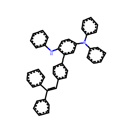 C(=C(c1ccccc1)c1ccccc1)c1ccc(-c2cc(N(c3ccccc3)c3ccccc3)ccc2Nc2ccccc2)cc1